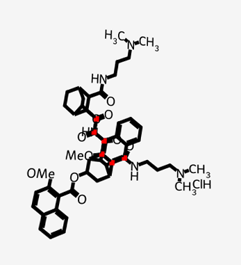 COc1ccc2ccccc2c1C(=O)OC1CC2CCC1C(C(=O)NC(=O)C1C3CCC(CC3OC(=O)c3c(OC)ccc4ccccc34)C1C(=O)NCCCN(C)C)C2C(=O)NCCCN(C)C.Cl